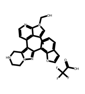 Cc1cn(CO)c2nccc(-c3c(-c4cccc5ccoc45)nn4c3CNCC4)c12.O=C(O)C(F)(F)F